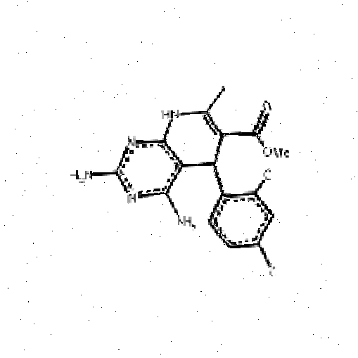 COC(=O)C1=C(C)Nc2nc(N)nc(N)c2C1c1ccc(Cl)cc1Cl